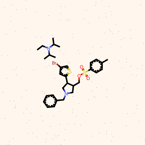 CCN(C(C)C)C(C)C.Cc1ccc(S(=O)(=O)OCC2CN(Cc3ccccc3)CC2c2cc(Br)cs2)cc1